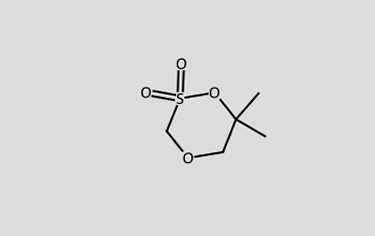 CC1(C)COCS(=O)(=O)O1